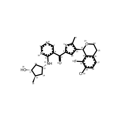 Cc1sc(C(=O)c2cncnc2N[C@@H]2C[C@@H](C)[C@H](O)C2)cc1[C@H]1OCCc2ccc(Cl)c(F)c21